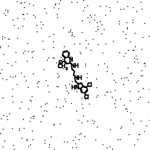 COc1cc(NCCCNCc2cc3c(Cl)cc(Cl)cc3[nH]2)nc2ccccc12